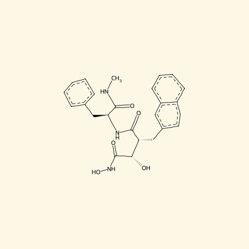 CNC(=O)[C@H](Cc1ccccc1)NC(=O)[C@H](Cc1ccc2ccccc2c1)[C@H](O)C(=O)NO